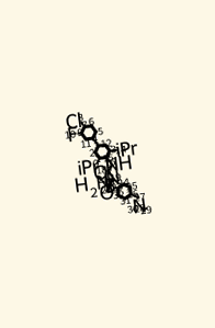 CC(C)c1cc(-c2ccc(Cl)c(F)c2)cc(C(C)C)c1NC(=O)N=S(N)(=O)c1ccc(CN(C)C)cc1